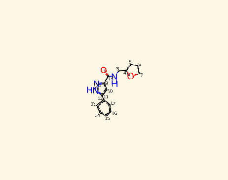 O=C(NCC1CCCO1)c1cc(-c2ccccc2)[nH]n1